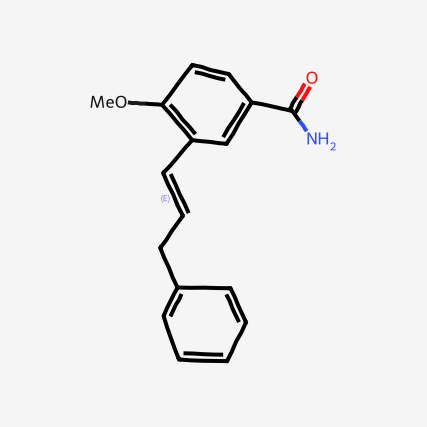 COc1ccc(C(N)=O)cc1/C=C/Cc1ccccc1